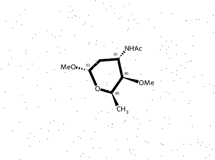 CO[C@@H]1C[C@H](NC(C)=O)[C@@H](OC)[C@@H](C)O1